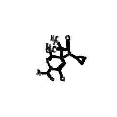 CC(C)C(=O)N1N=C(Cl)C2(C=C1Cl)N(C1CC1)C(=O)C2(C)C